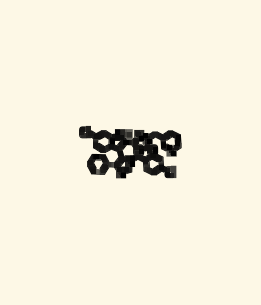 O=c1oc(-c2[nH]c3cc(Cl)ccc3c2-c2c(-c3ccccc3)ncn2Cc2ccc(Cl)cc2)nn1Cc1cccnc1